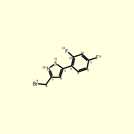 Fc1ccc(-c2cc(CBr)ns2)c(F)c1